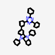 c1ccc(-c2nc(-c3ccccc3)nc(-c3cccc(-c4ccc5c(c4)c4c(c6ccccc6n4-c4ccccc4)n5-c4ccccc4)c3)n2)cc1